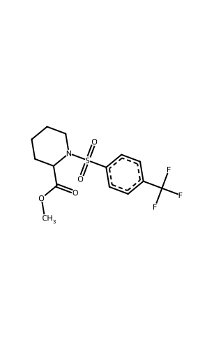 COC(=O)C1CCCCN1S(=O)(=O)c1ccc(C(F)(F)F)cc1